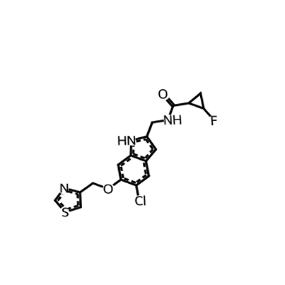 O=C(NCc1cc2cc(Cl)c(OCc3cscn3)cc2[nH]1)C1CC1F